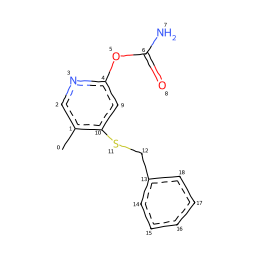 Cc1cnc(OC(N)=O)cc1SCc1ccccc1